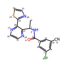 CC(NC(=O)c1cc(Br)cc(C#N)c1)c1nccnc1-c1nccs1